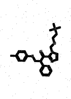 Cc1ccc(SCC(C(=O)c2nccn2COCC[Si](C)(C)C)c2ccccc2)cc1